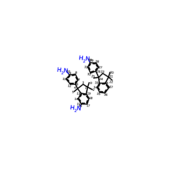 CC1(C)CC(C)(c2ccc(N)cc2)c2cc(N)ccc21.CC1(C)CC(C)(c2ccc(N)cc2)c2ccccc21